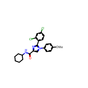 COc1ccc(-n2cc(C(=O)NC3CCCCC3)nc2-c2ccc(Cl)cc2Cl)cc1